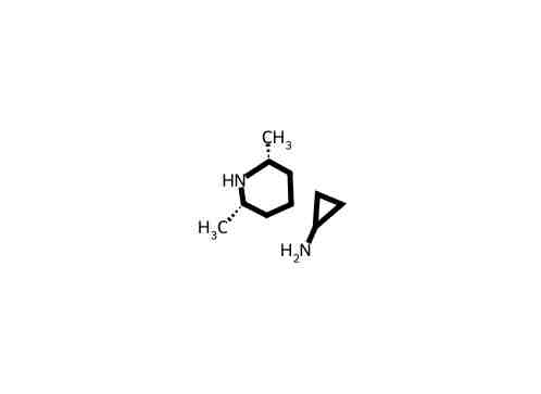 C[C@@H]1CCC[C@H](C)N1.NC1CC1